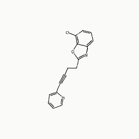 Clc1cccc2nc(CCC#Cc3ccccn3)oc12